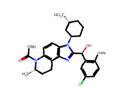 COC(=O)N1c2ccc3c(nc([C@@H](O)c4cc(Cl)ccc4OC)n3[C@@H]3CCC[C@@H](C(=O)O)C3)c2CC[C@@H]1C